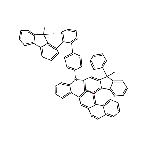 CC1(C)c2ccccc2-c2cccc(-c3ccccc3-c3ccc(N(c4ccc5c(c4)C(C)(c4ccccc4)c4ccccc4-5)c4ccccc4-c4ccc5c(ccc6ccccc65)c4)cc3)c21